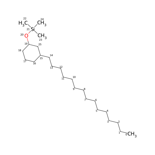 CCCCCCCCCCCCCCCC1CCCC(O[Si](C)(C)C)C1